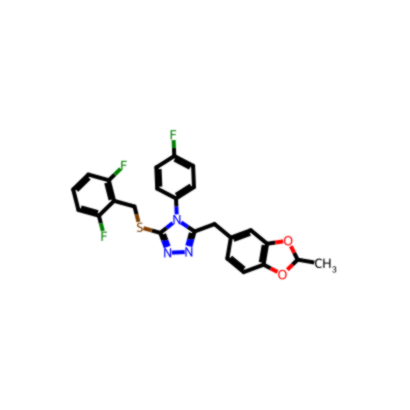 CC1Oc2ccc(Cc3nnc(SCc4c(F)cccc4F)n3-c3ccc(F)cc3)cc2O1